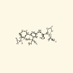 [2H]C([2H])([2H])c1nc(NC(=O)N2CCC[C@H]2C(N)=O)sc1-c1ccnc(C2(C)CC2)c1